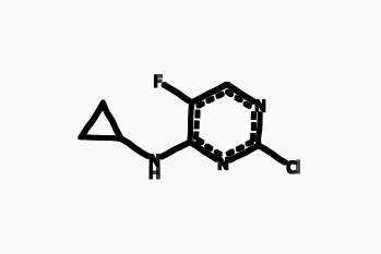 Fc1cnc(Cl)nc1NC1CC1